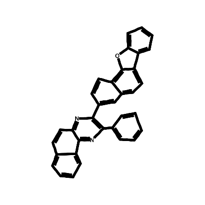 c1ccc(-c2nc3c(ccc4ccccc43)nc2-c2ccc3c(ccc4c5ccccc5oc34)c2)cc1